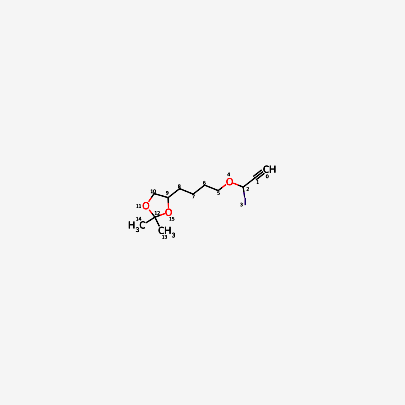 C#CC(I)OCCCCC1COC(C)(C)O1